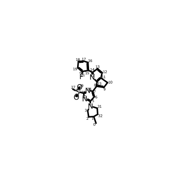 CC1CCN(c2cc(C3=CCc4ccc(-c5ccccc5F)nc43)nc(S(C)(=O)=O)n2)CC1